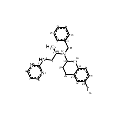 C[C@H](CNc1ncccn1)N(Cc1ccccc1)C1CCc2cc(F)ccc2O1